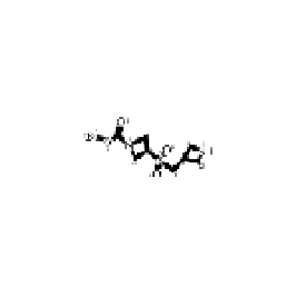 CC(C)(C)OC(=O)N1CC(S(=O)(=O)CC2CNC2)C1